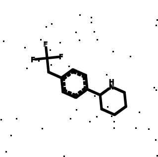 FC(F)(F)Cc1ccc(C2CCCCN2)cc1